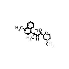 Cc1ncc(C(C)(C)NC(=O)C2CN(C)CCO2)c2ccccc12